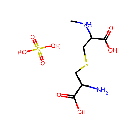 CNC(CSCC(N)C(=O)O)C(=O)O.O=S(=O)(O)O